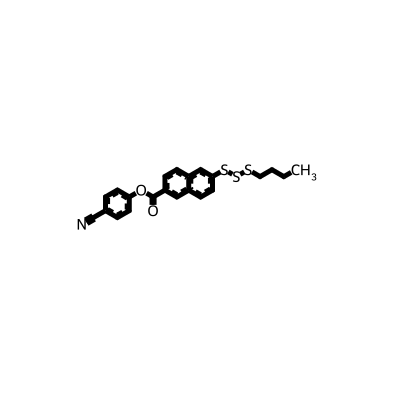 CCCCSSSc1ccc2cc(C(=O)Oc3ccc(C#N)cc3)ccc2c1